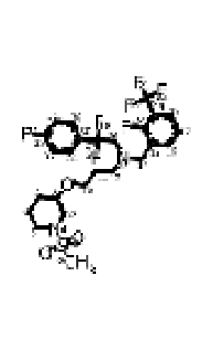 CS(=O)(=O)N1CCCC(OCCCN(Cc2cccc(C(F)(F)F)c2F)CC(F)(F)c2ccc(F)cc2)C1